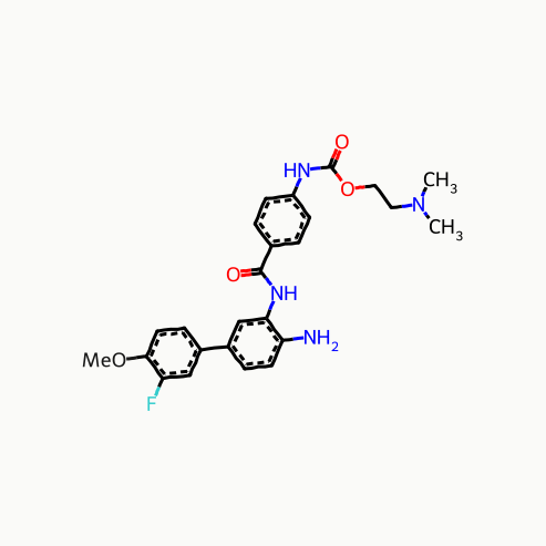 COc1ccc(-c2ccc(N)c(NC(=O)c3ccc(NC(=O)OCCN(C)C)cc3)c2)cc1F